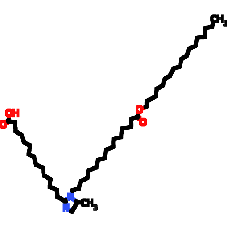 CCCCCCCCCCCCCCCCCCOC(=O)CCCCCCCCCCCCCCCN1C(CCCCCCCCCCCCCCC(=O)O)=NCC1C